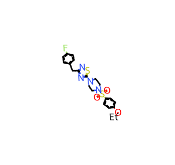 CCOc1ccc(S(=O)(=O)N2CCN(c3nc(Cc4ccc(F)cc4)ns3)CC2)cc1